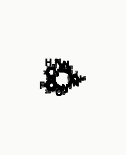 CN1Cc2nn(C)cc2-c2cnc(N)c(c2)N2CCCC[C@@H]2c2cc(F)ccc2C1=O